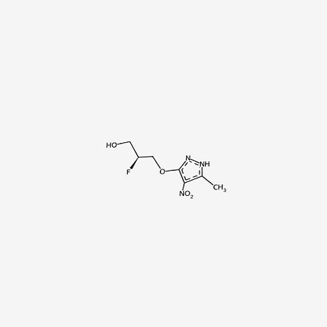 Cc1[nH]nc(OC[C@@H](F)CO)c1[N+](=O)[O-]